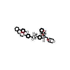 O=C(NS(=O)(=O)c1ccc(N[C@@H](CCc2ccccc2)CCN2C3COCC2COC3)c(S(=O)(=O)C(F)(F)F)c1)c1ccc(N2CCN(CC3=C(c4ccc(Cl)cc4)CCCC3)CC2)cc1